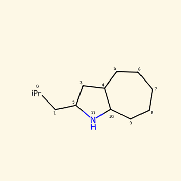 CC(C)CC1CC2CCCCCC2N1